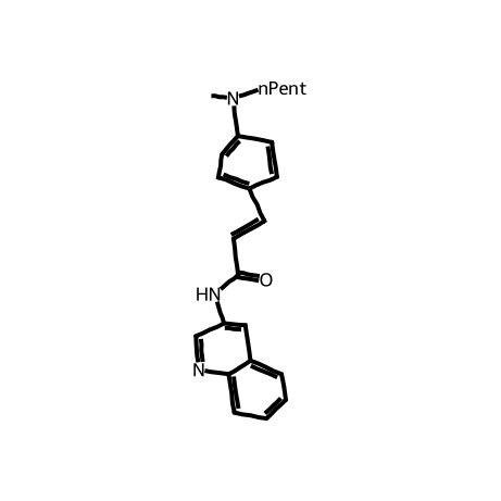 CCCCCN(C)c1ccc(/C=C/C(=O)Nc2cnc3ccccc3c2)cc1